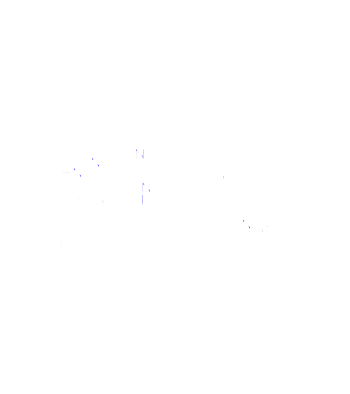 CN1CCCC(Oc2ccc3nc(-c4n[nH]c5cc(F)ccc45)[nH]c3c2)C1